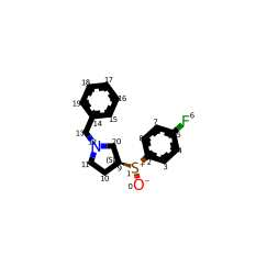 [O-][S+](c1ccc(F)cc1)[C@H]1CCN(Cc2ccccc2)C1